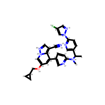 CC(c1ccc(-n2cc(F)cn2)nc1)N(C)c1ccc(-c2cc(OCC3CC3)cn3ncc(C#N)c23)cn1